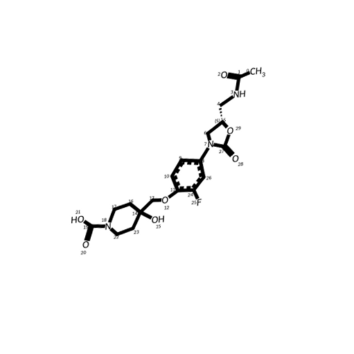 CC(=O)NC[C@H]1CN(c2ccc(OCC3(O)CCN(C(=O)O)CC3)c(F)c2)C(=O)O1